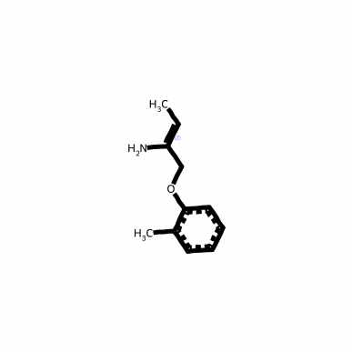 C/C=C(\N)COc1ccccc1C